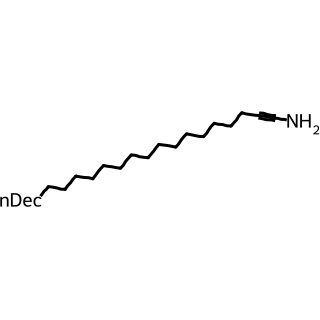 CCCCCCCCCCCCCCCCCCCCCCCCCC#CN